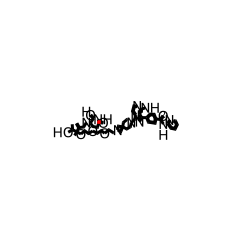 C=C(CNC1CCC(=O)NC1=O)C(C)(OCCOCCOCCN1CC2(CCN(c3nc(-c4ccc(C(=O)Nc5ccccn5)cc4)c4c(N)nccn34)CC2)C1)C(C)O